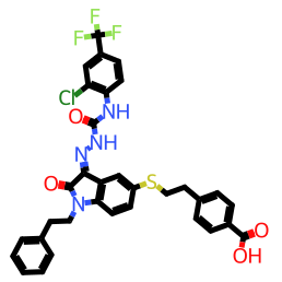 O=C(N/N=C1/C(=O)N(CCc2ccccc2)c2ccc(SCCc3ccc(C(=O)O)cc3)cc21)Nc1ccc(C(F)(F)F)cc1Cl